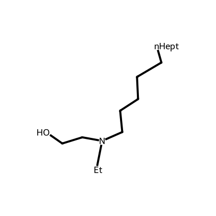 CCCCCCCCCCCCN(CC)CCO